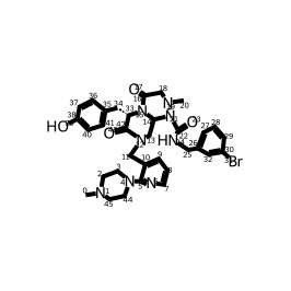 CN1CCN(c2ncccc2CN2CC3N(C(=O)CN(C)N3C(=O)NCc3cccc(Br)c3)[C@@H](Cc3ccc(O)cc3)C2=O)CC1